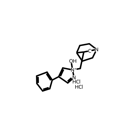 Cl.Cl.O[N+]1(CC2CN3CCC2CC3)C=C(c2ccccc2)C=N1